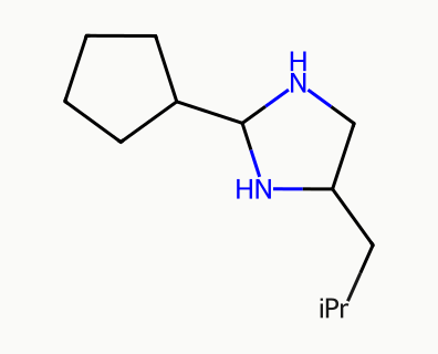 CC(C)CC1CNC(C2CCCC2)N1